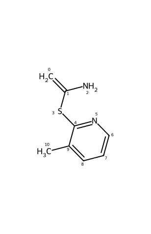 C=C(N)Sc1ncccc1C